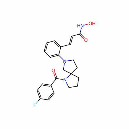 O=C(C=Cc1ccccc1N1CCC2(CCCN2C(=O)c2ccc(F)cc2)C1)NO